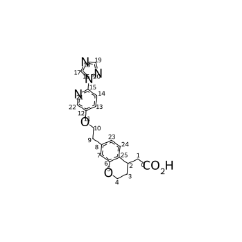 O=C(O)CC1CCOc2cc(CCOc3ccc(-n4cncn4)nc3)ccc21